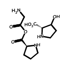 NCC(=O)OC(=O)[C@@H]1CCCN1.O=C(O)[C@H]1NCCC1O